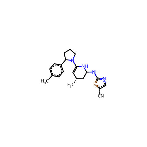 Cc1ccc(C2CCCN2C2=C[C@@H](C(F)(F)F)CC(Nc3ncc(C#N)s3)N2)cc1